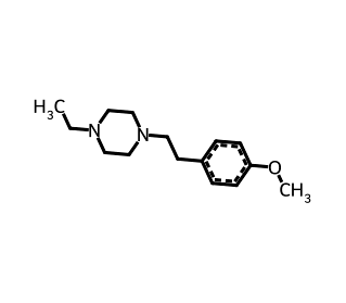 CCN1CCN(CCc2ccc(OC)cc2)CC1